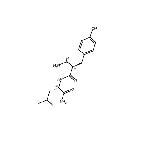 CC(C)C[C@H](NC(=O)[C@H](Cc1ccc(O)cc1)NN)C(N)=O